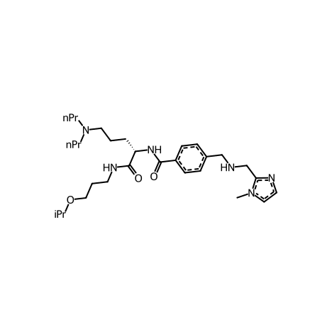 CCCN(CCC)CCC[C@H](NC(=O)c1ccc(CNCc2nccn2C)cc1)C(=O)NCCCOC(C)C